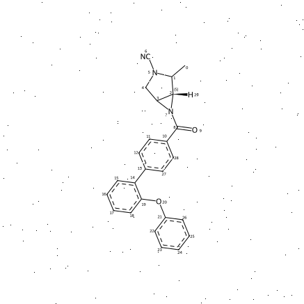 CC1[C@H]2C(CN1C#N)N2C(=O)c1ccc(-c2ccccc2Oc2ccccc2)cc1